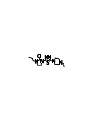 CCCN1CCN(c2nnc(N3CCN(CC)CC3)s2)C1=O